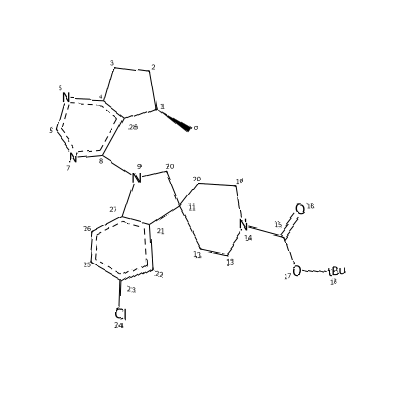 C[C@@H]1CCc2ncnc(N3CC4(CCN(C(=O)OC(C)(C)C)CC4)c4cc(Cl)ccc43)c21